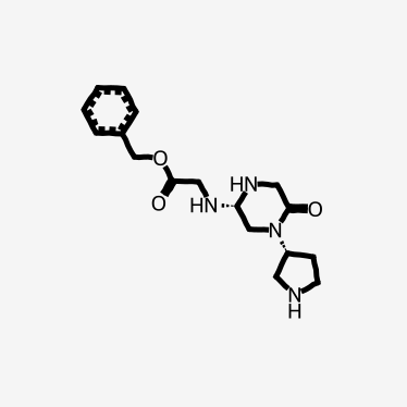 O=C(CN[C@H]1CN([C@@H]2CCNC2)C(=O)CN1)OCc1ccccc1